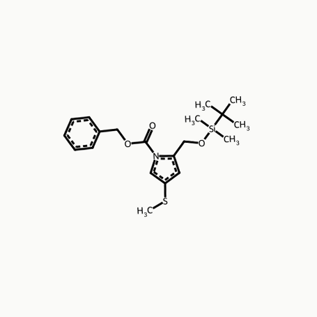 CSc1cc(CO[Si](C)(C)C(C)(C)C)n(C(=O)OCc2ccccc2)c1